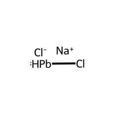 [Cl-].[Cl][PbH].[Na+]